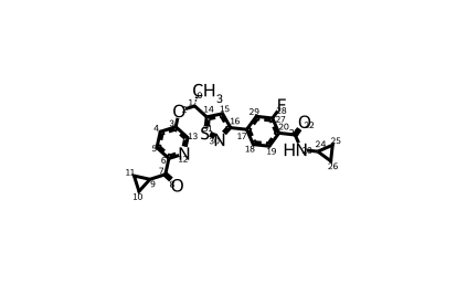 C[C@@H](Oc1ccc(C(=O)C2CC2)nc1)c1cc(-c2ccc(C(=O)NC3CC3)c(F)c2)ns1